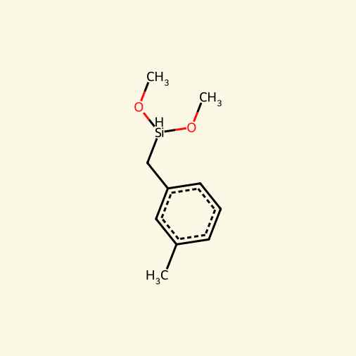 CO[SiH](Cc1cccc(C)c1)OC